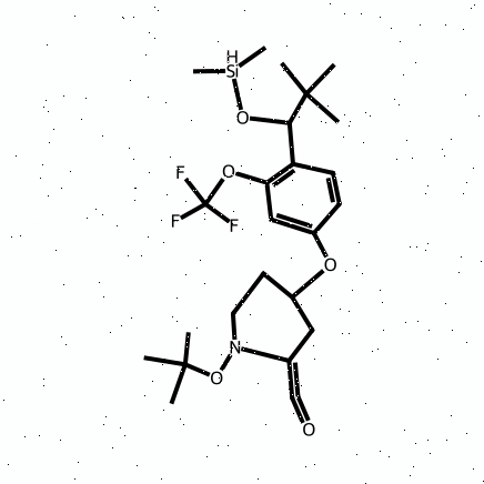 C[SiH](C)OC(c1ccc(OC2CCN(OC(C)(C)C)C(=C=O)C2)cc1OC(F)(F)F)C(C)(C)C